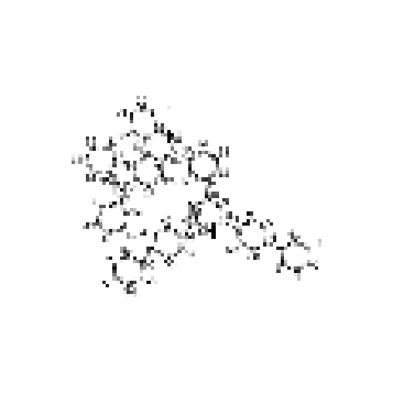 c1ccc(-c2ccc(-c3cc(-c4cccc(-c5nc6ccccc6c6c5ccc5c6c6ccccc6n5-c5ccccc5)c4)nc(-c4ccc(-c5ccccc5)cc4)n3)cc2)cc1